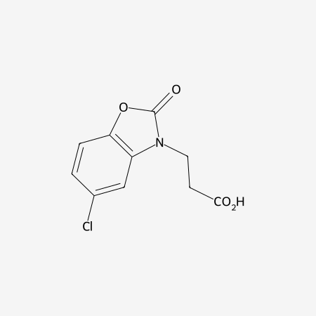 O=C(O)CCn1c(=O)oc2ccc(Cl)cc21